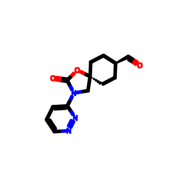 O=C[C@H]1CC[C@]2(CC1)CN(c1cccnn1)C(=O)O2